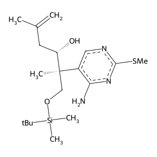 C=C(C)C[C@H](O)[C@](C)(CO[Si](C)(C)C(C)(C)C)c1cnc(SC)nc1N